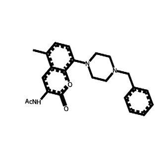 CC(=O)Nc1cc2c(C)ccc(N3CCN(Cc4ccccc4)CC3)c2oc1=O